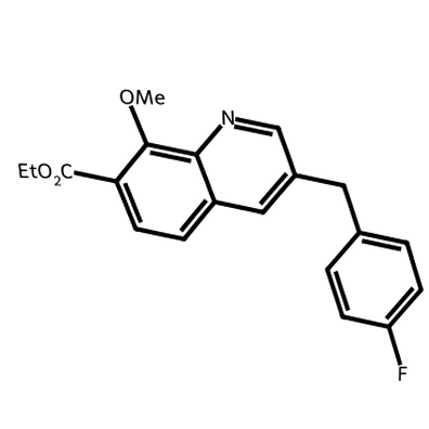 CCOC(=O)c1ccc2cc(Cc3ccc(F)cc3)cnc2c1OC